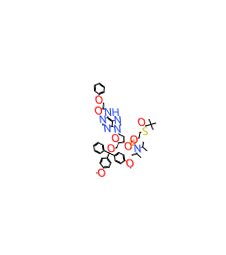 COc1ccc(C(OC[C@H]2O[C@@H](n3cnc4c(NC(=O)COc5ccccc5)ncnc43)C[C@@H]2OP(OCCSC(=O)C(C)(C)C)N(C(C)C)C(C)C)(c2ccccc2)c2ccc(OC)cc2)cc1